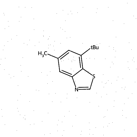 Cc1cc(C(C)(C)C)c2scnc2c1